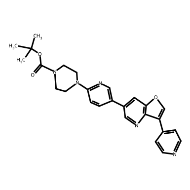 CC(C)(C)OC(=O)N1CCN(c2ccc(-c3cnc4c(-c5ccncc5)coc4c3)cn2)CC1